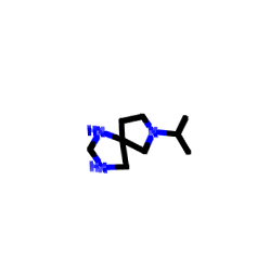 CC(C)N1CCC2(CNCN2)C1